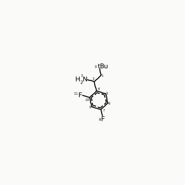 CC(C)(C)CC(N)c1ccc(F)cc1F